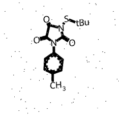 Cc1ccc(N2C(=O)C(=O)N(SC(C)(C)C)C2=O)cc1